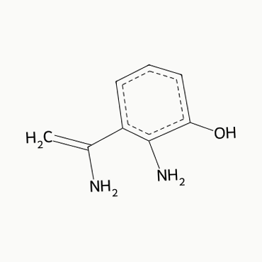 C=C(N)c1cccc(O)c1N